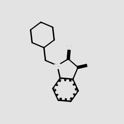 O=C1C(=O)N(CC2CCCCC2)c2ccccc21